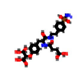 NS(=O)(=O)c1ccc(CCNC(=O)C(Cc2ccc(OC(C(=O)O)C(=O)O)cc2)NC(=O)CCC(=O)O)cc1